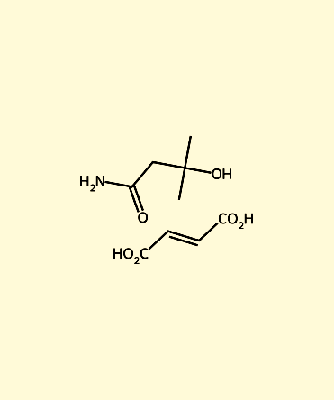 CC(C)(O)CC(N)=O.O=C(O)/C=C/C(=O)O